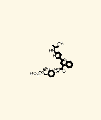 CC(CO)Nc1ccc(-c2cc(C(=O)NC[C@H]3CC[C@H](CN(C(=O)O)C(C)(C)C)CC3)c3ccccc3n2)cn1